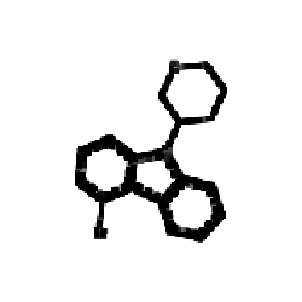 Brc1cccc2c1c1ccccc1n2C1CCCOC1